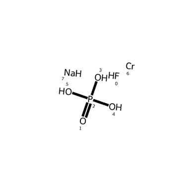 F.O=P(O)(O)O.[Cr].[NaH]